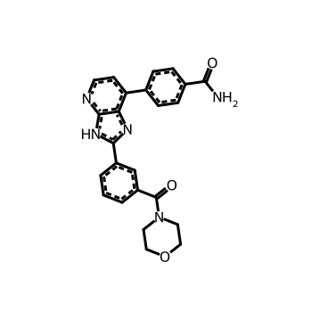 NC(=O)c1ccc(-c2ccnc3[nH]c(-c4cccc(C(=O)N5CCOCC5)c4)nc23)cc1